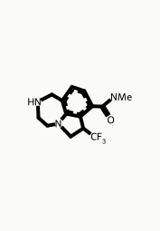 CNC(=O)c1ccc2c3c1C(C(F)(F)F)CN3CCNC2